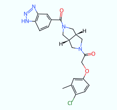 Cc1cc(OCC(=O)N2C[C@@H]3CN(C(=O)c4ccc5[nH]nnc5c4)C[C@@H]3C2)ccc1Cl